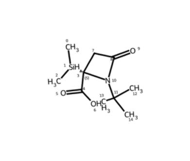 C[SiH](C)[C@]1(C(=O)O)CC(=O)N1C(C)(C)C